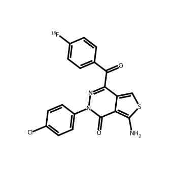 Nc1scc2c(C(=O)c3ccc([18F])cc3)nn(-c3ccc(Cl)cc3)c(=O)c12